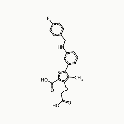 Cc1c(-c2cccc(NCc3ccc(F)cc3)c2)sc(C(=O)O)c1OCC(=O)O